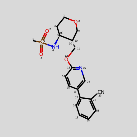 CS(=O)(=O)N[C@H]1CCOC[C@@H]1COc1ccc(-c2ccccc2C#N)cn1